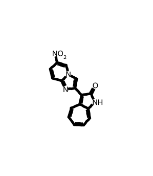 O=c1[nH]c2cccccc-2c1-c1cn2cc([N+](=O)[O-])ccc2n1